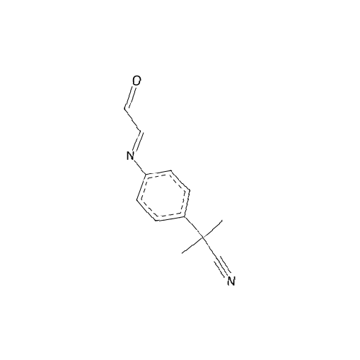 CC(C)(C#N)c1ccc(N=CC=O)cc1